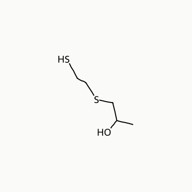 CC(O)CSCCS